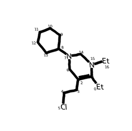 CCC1=C(CCCl)CN(C2CCCCC2)CN1CC